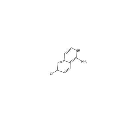 NC1=C2C=C[C](Cl)C=C2C=CN1